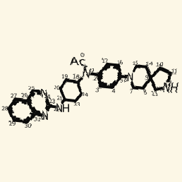 CC(=O)N(c1ccc(N2CCC3(CCNC3)CC2)cc1)C1CCC(Nc2ncc3ccccc3n2)CC1